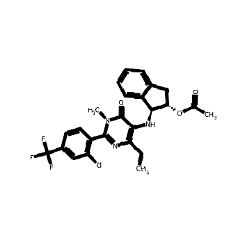 CCc1nc(-c2ccc(C(F)(F)F)cc2Cl)n(C)c(=O)c1N[C@H]1c2ccccc2C[C@@H]1OC(C)=O